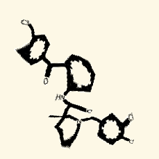 C[C@]1(C(=O)Nc2ccccc2C(=O)c2ccc(Cl)cc2)CCCN1Cc1ccc(Cl)c(Cl)c1